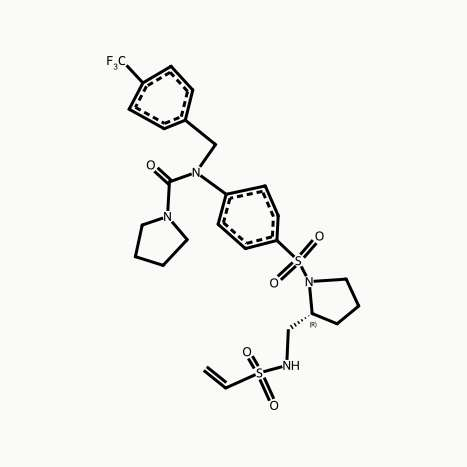 C=CS(=O)(=O)NC[C@H]1CCCN1S(=O)(=O)c1ccc(N(Cc2ccc(C(F)(F)F)cc2)C(=O)N2CCCC2)cc1